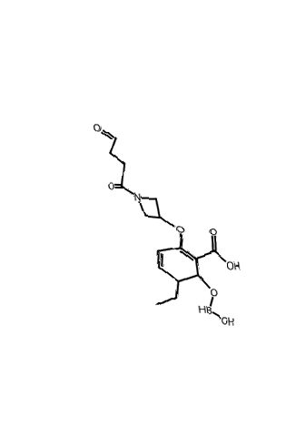 CCC1C=CC(OC2CN(C(=O)CCC=O)C2)=C(C(=O)O)C1OBO